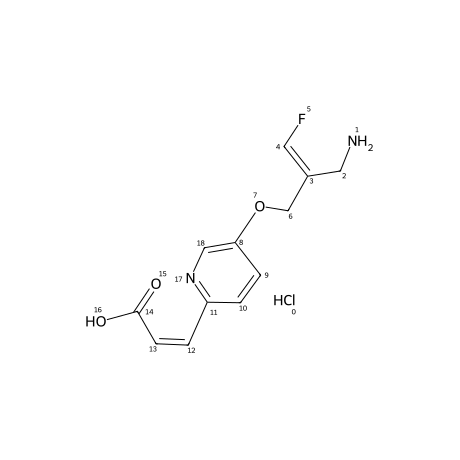 Cl.NCC(=CF)COc1ccc(/C=C\C(=O)O)nc1